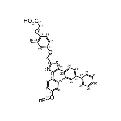 CCCOc1ccc(-c2nc(COc3ccc(OCC(=O)O)c(C)c3)sc2-c2ccc(-c3ccccc3)cc2)cc1